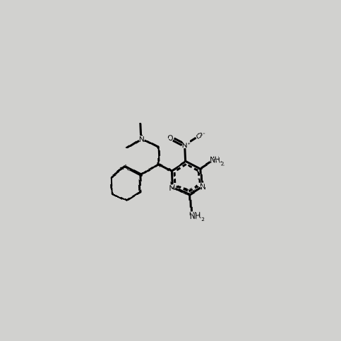 CN(C)CC(c1nc(N)nc(N)c1[N+](=O)[O-])C1CCCCC1